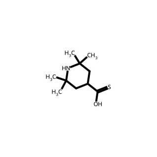 CC1(C)CC(C(O)=S)CC(C)(C)N1